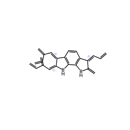 C=C/C=C1\C(=C)Bc2c1ccc1c2BC(=C/C(=C)C=C)/C1=C\C(=C)C=C